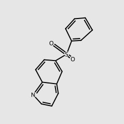 O=S(=O)(c1ccccc1)c1ccc2ncccc2c1